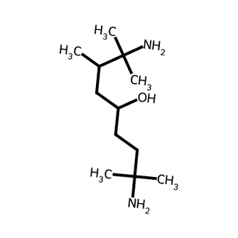 CC(CC(O)CCC(C)(C)N)C(C)(C)N